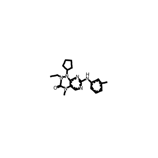 CCN1C(=O)N(C)c2cnc(Nc3cccc(C)c3)nc2N1C1CCCC1